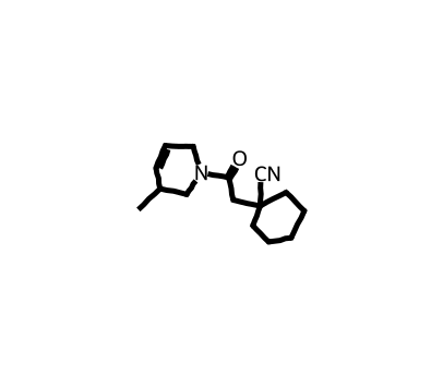 CC1C=CCN(C(=O)CC2(C#N)CCCCC2)C1